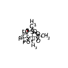 CC(S(C)(=O)=O)(S(C)(=O)=O)S(=O)(=O)C(F)(F)F